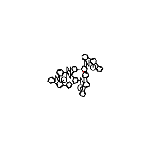 c1cc(-c2ccc3nc(-c4cccc(-n5c6ccccc6c6ccc7c8ccccc8oc7c65)c4)nc(-c4cccc(-n5c6ccccc6c6ccc7c8ccccc8oc7c65)c4)c3c2)cc(-n2c3ccccc3c3ccc4c5ccccc5oc4c32)c1